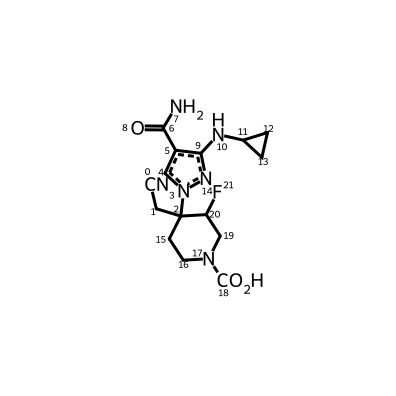 N#CCC1(n2cc(C(N)=O)c(NC3CC3)n2)CCN(C(=O)O)CC1F